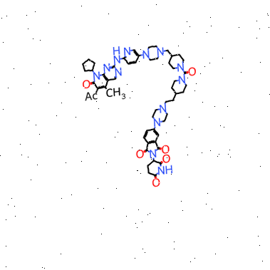 CC(=O)c1c(C)c2cnc(Nc3ccc(N4CCN(CC5CCN(C(=O)N6CCC(CCN7CCN(c8ccc9c(c8)C(=O)N(C8CCC(=O)NC8=O)C9=O)CC7)CC6)CC5)CC4)cn3)nc2n(C2CCCC2)c1=O